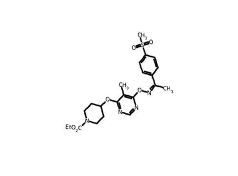 CCOC(=O)N1CCC(Oc2ncnc(O/N=C(/C)c3ccc(S(C)(=O)=O)cc3)c2C)CC1